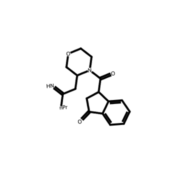 CCCC(=N)CC1COCCN1C(=O)C1CC(=O)c2ccccc21